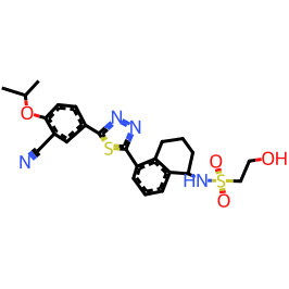 CC(C)Oc1ccc(-c2nnc(-c3cccc4c3CCCC4NS(=O)(=O)CCO)s2)cc1C#N